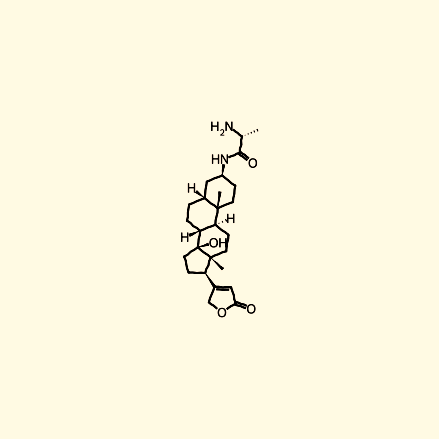 C[C@@H](N)C(=O)N[C@H]1CC[C@@]2(C)[C@H](CC[C@@H]3[C@@H]2CC[C@]2(C)[C@@H](C4=CC(=O)OC4)CC[C@]32O)C1